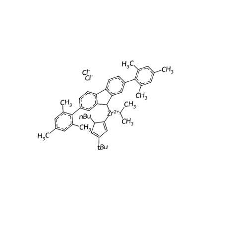 CCCCC1C=C(C(C)(C)C)C=[C]1[Zr+2](=[C](C)C)[CH]1c2cc(-c3c(C)cc(C)cc3C)ccc2-c2ccc(-c3c(C)cc(C)cc3C)cc21.[Cl-].[Cl-]